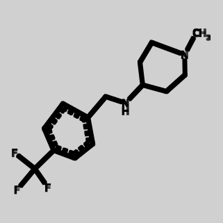 CN1CCC(NCc2ccc(C(F)(F)F)cc2)CC1